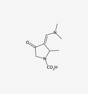 CC1/C(=C\N(C)C)C(=O)CN1C(=O)O